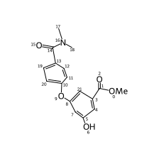 COC(=O)c1cc(O)cc(Oc2ccc(C(=O)N(C)C)cc2)c1